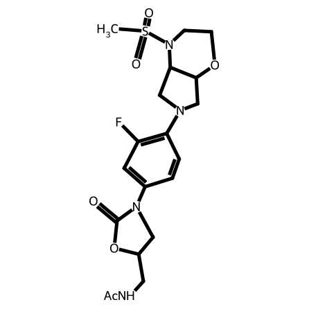 CC(=O)NCC1CN(c2ccc(N3CC4OCCN(S(C)(=O)=O)C4C3)c(F)c2)C(=O)O1